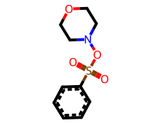 O=S(=O)(ON1CCOCC1)c1ccccc1